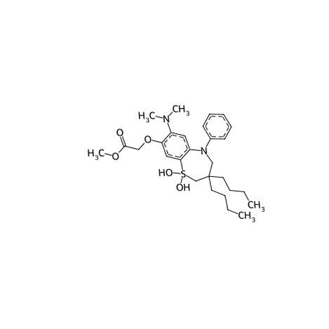 CCCCC1(CCCC)CN(c2ccccc2)c2cc(N(C)C)c(OCC(=O)OC)cc2S(O)(O)C1